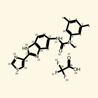 Cc1cc(C)cc(N(C)C(=O)Nc2ccc3[nH]c(-c4cscn4)nc3c2)c1.O=C(O)C(F)(F)F